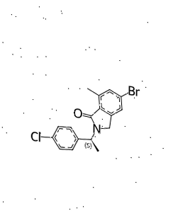 Cc1cc(Br)cc2c1C(=O)N([C@@H](C)c1ccc(Cl)cc1)C2